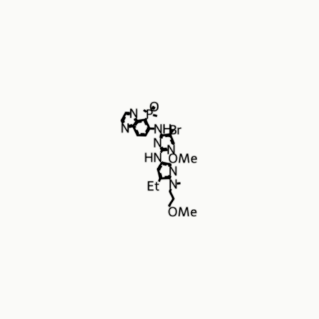 CCc1cc(Nc2ncc(Br)c(Nc3ccc4nccnc4c3P(C)(C)=O)n2)c(OC)nc1N(C)CCCOC